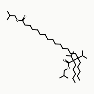 CCCCCC(CCCCCCCCCCCCCCC(=O)OCC(C)C)(C(C)C)C(CCCCC)(C(=O)OCC(C)C)C(C)C